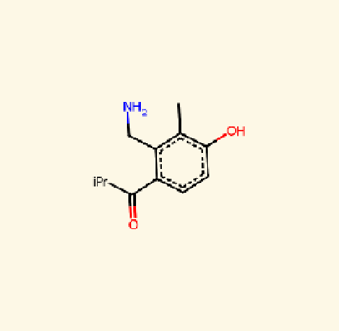 Cc1c(O)ccc(C(=O)C(C)C)c1CN